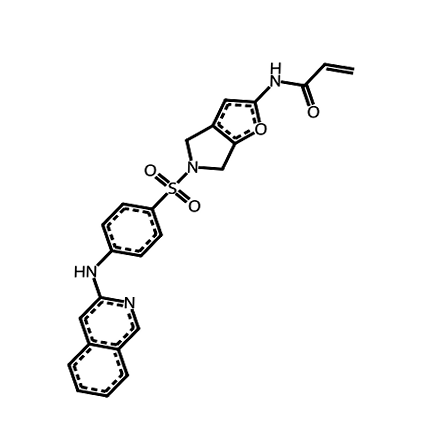 C=CC(=O)Nc1cc2c(o1)CN(S(=O)(=O)c1ccc(Nc3cc4ccccc4cn3)cc1)C2